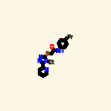 CCn1c(SCC(=O)Nc2ccc(C(C)C)cc2)nnc1-c1ccccn1